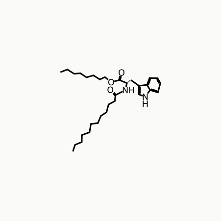 CCCCCCCCCCCC(=O)N[C@@H](Cc1c[nH]c2ccccc12)C(=O)OCCCCCCCC